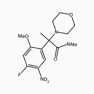 CNC(=O)C(C)(c1cc([N+](=O)[O-])c(F)cc1OC)N1CCOCC1